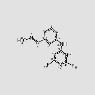 C/N=N/c1cccc(Nc2cc(F)nc(F)n2)c1